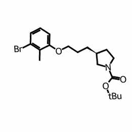 Cc1c(Br)cccc1OCCC[C@H]1CCN(C(=O)OC(C)(C)C)C1